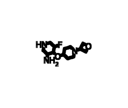 NC1CNCC(F)C1OC1CCN(C2COC2)CC1